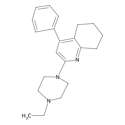 CCN1CCN(c2cc(-c3ccccc3)c3c(n2)CCCC3)CC1